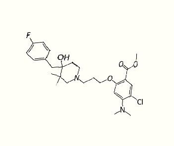 COC(=O)c1cc(Cl)c(N(C)C)cc1OCCCN1CCC(O)(Cc2ccc(F)cc2)C(C)(C)C1